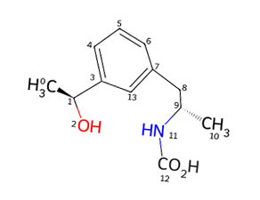 C[C@H](O)c1cccc(C[C@H](C)NC(=O)O)c1